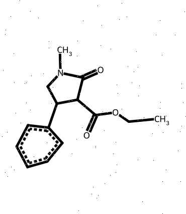 CCOC(=O)C1C(=O)N(C)CC1c1ccccc1